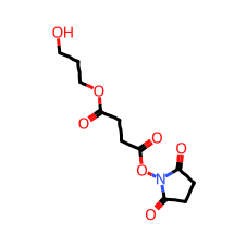 O=C(CCC(=O)ON1C(=O)CCC1=O)OCCCO